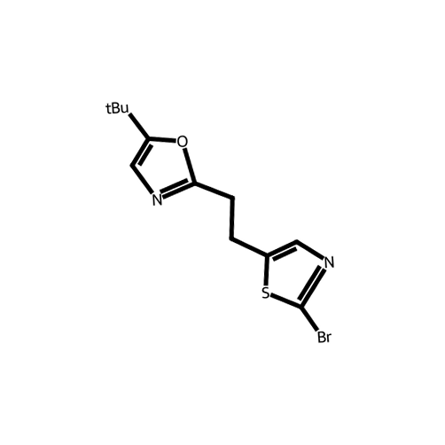 CC(C)(C)c1cnc(CCc2cnc(Br)s2)o1